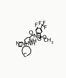 COC(=O)c1cc(C(F)(F)F)c(F)cc1NC(=O)C1CCC(C2CCCCCCCC2)(n2ccnc2)NN1